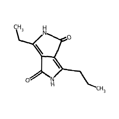 CCCC1=C2C(=O)NC(CC)=C2C(=O)N1